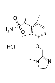 Cc1ccc(OCC2=NCCN2C)c(C)c1N(C)S(N)(=O)=O.Cl